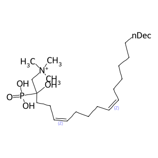 CCCCCCCCCCCCCCC/C=C\CCC/C=C\CCC(O)(C[N+](C)(C)C)P(=O)(O)O